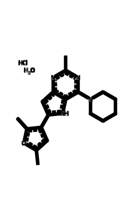 Cc1nc(N2CCCCC2)c2[nH]c(-c3cc(C)oc3C)cc2n1.Cl.O